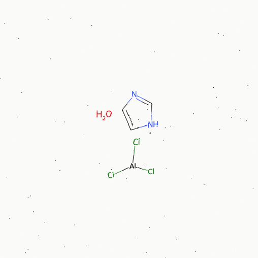 O.[Cl][Al]([Cl])[Cl].c1c[nH]cn1